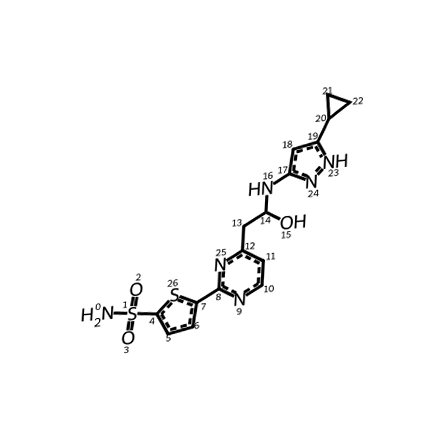 NS(=O)(=O)c1ccc(-c2nccc(CC(O)Nc3cc(C4CC4)[nH]n3)n2)s1